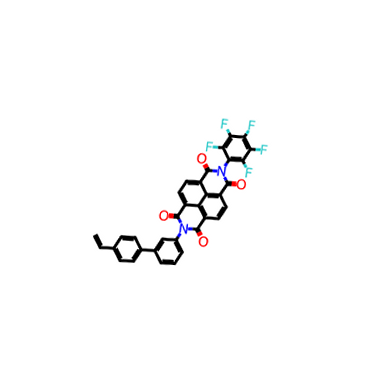 C=Cc1ccc(-c2cccc(N3C(=O)c4ccc5c6c(ccc(c46)C3=O)C(=O)N(c3c(F)c(F)c(F)c(F)c3F)C5=O)c2)cc1